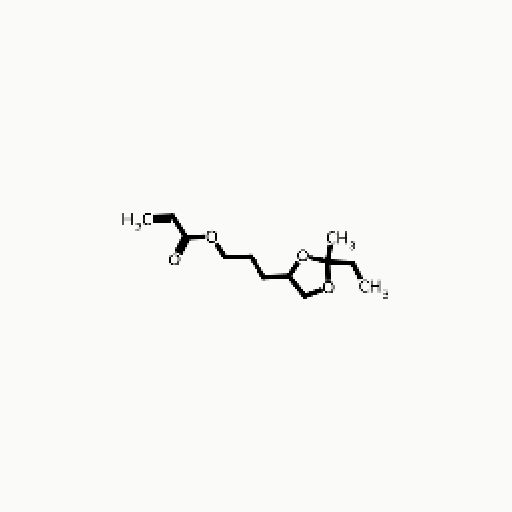 C=CC(=O)OCCCC1COC(C)(CC)O1